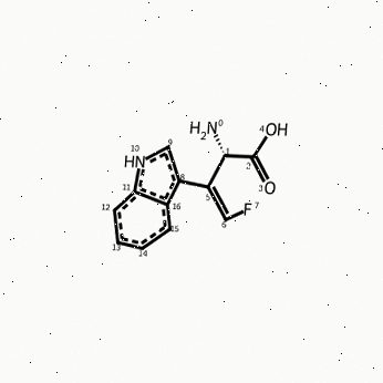 N[C@H](C(=O)O)C(=CF)c1c[nH]c2ccccc12